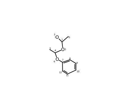 CC([O])OC(C)Oc1ccccc1